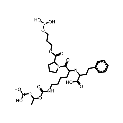 CC(OC(=O)NCCCCC(NC(CCc1ccccc1)C(=O)O)C(=O)N1CCCC1C(=O)OCCCON(O)O)ON(O)O